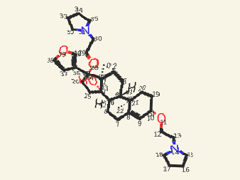 C[C@]12CC[C@H]3[C@@H](CCC4=C[C@@H](OCCN5CCCC5)CC[C@@]43C)[C@@]1(O)CC[C@@]2(OCCN1CCCC1)c1ccoc1